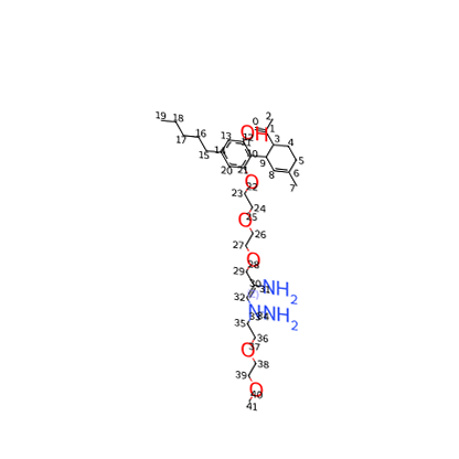 C=C(C)C1CCC(C)=CC1c1c(O)cc(CCCCC)cc1OCCOCCOC/C(N)=C/N(N)CCOCCOC